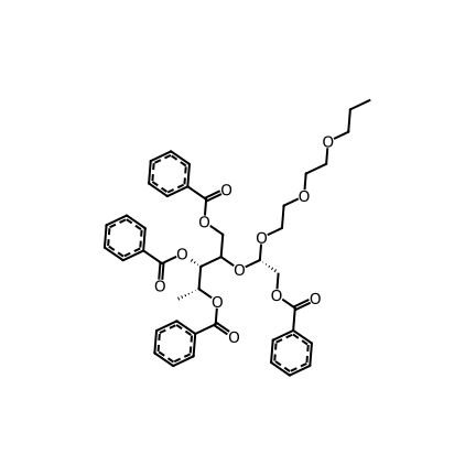 CCCOCCOCCO[C@H](COC(=O)c1ccccc1)OC(COC(=O)c1ccccc1)[C@@H](OC(=O)c1ccccc1)[C@@H](C)OC(=O)c1ccccc1